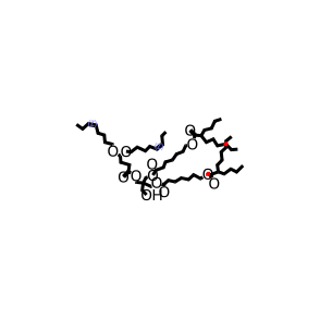 CC/C=C\CCCCOC(CCC(=O)OCC(CO)(COC(=O)CCCCCCOC(=O)C(CCCC)CCCCCC)COC(=O)CCCCCCOC(=O)C(CCCC)CCCCCC)OCCCC/C=C\CC